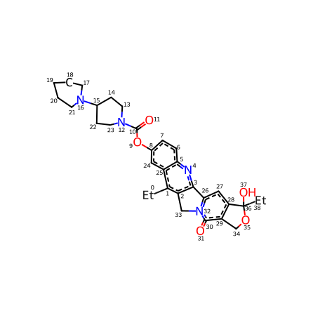 CCc1c2c(nc3ccc(OC(=O)N4CCC(N5CCCCC5)CC4)cc13)-c1cc3c(c(=O)n1C2)COC3(O)CC